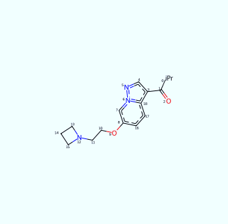 CC(C)C(=O)c1cnn2cc(OCCN3CCC3)ccc12